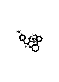 N#Cc1ccc(CC(NC2C=C(c3cccc(Cl)c3)CCCC2)c2cnc[nH]2)cc1